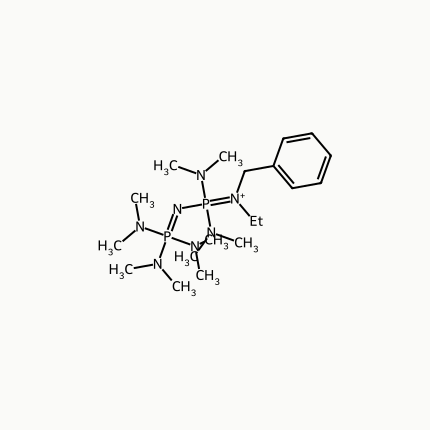 CC[N+](Cc1ccccc1)=P(N=P(N(C)C)(N(C)C)N(C)C)(N(C)C)N(C)C